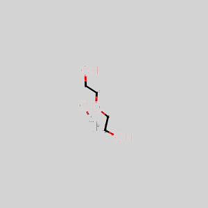 CC(=O)[O-].OCCOCCO.[K+]